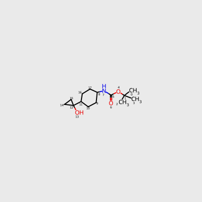 CC(C)(C)OC(=O)NC1CCC(C2(O)CC2)CC1